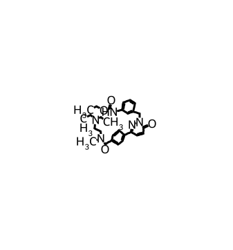 CCOC(=O)Nc1cccc(Cn2nc(-c3ccc(C(=O)N(C)CCN(CC)CC)cc3)ccc2=O)c1